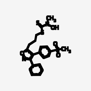 CN(O)C(=S)SCCCc1onc(-c2ccccc2)c1-c1ccc(S(C)(=O)=O)cc1